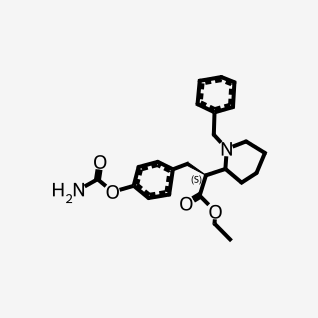 CCOC(=O)[C@@H](Cc1ccc(OC(N)=O)cc1)C1CCCCN1Cc1ccccc1